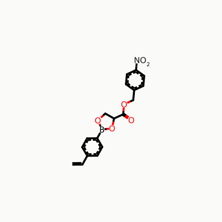 C=Cc1ccc(B2OCC(C(=O)OCc3ccc([N+](=O)[O-])cc3)O2)cc1